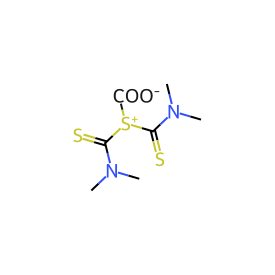 CN(C)C(=S)[S+](C(=O)[O-])C(=S)N(C)C